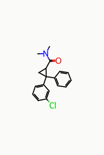 CN(C)C(=O)C1CC1(c1ccccc1)c1cccc(Cl)c1